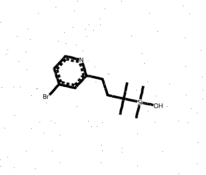 CC(C)(CCc1cc(Br)ccn1)[Si](C)(C)O